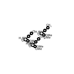 COc1cc2c(cc1OC)C(c1ccc(-c3ccc(C)cc3)cc1)=NN(C)C(=O)C2.COc1cc2c(cc1OC)C(c1ccc(-c3ccc(Cl)cc3)cc1)=NN(C)C(=O)C2.COc1cc2c(cc1OC)C(c1ccc(-c3cccc(C)c3)cc1)=NN(C)C(=O)C2